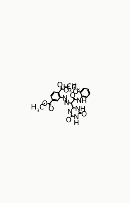 COC(=O)c1ccc(C(=O)OC)c(N=NC(C(=O)Nc2ccccc2OC)c2nc(=O)[nH]c(=O)[nH]2)c1